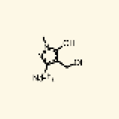 Cn1nc(C(F)(F)F)c(CO)c1O.[Na]